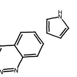 c1cc[nH]c1.c1ccc2nnncc2c1